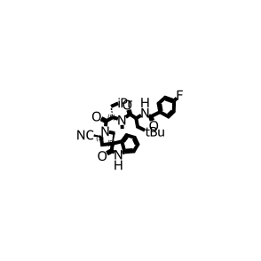 CC(C)C[C@@H](C(=O)N1C[C@]2(C[C@H]1C#N)C(=O)Nc1ccccc12)N(C)C(=O)C(CC(C)(C)C)NC(=O)c1ccc(F)cc1